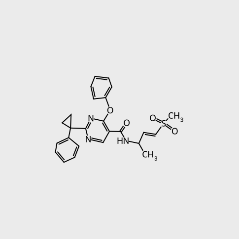 CC(C=CS(C)(=O)=O)NC(=O)c1cnc(C2(c3ccccc3)CC2)nc1Oc1ccccc1